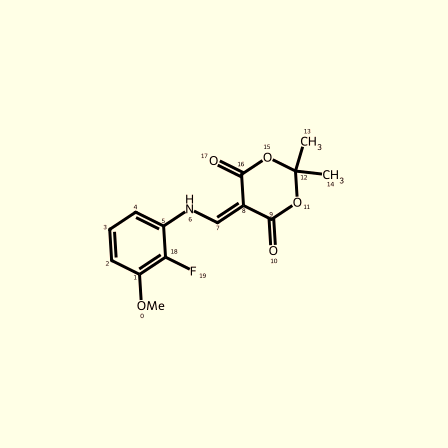 COc1cccc(NC=C2C(=O)OC(C)(C)OC2=O)c1F